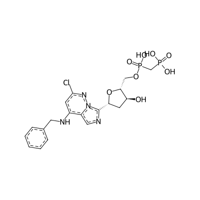 O=P(O)(O)CP(=O)(O)OC[C@H]1O[C@@H](c2ncc3c(NCc4ccccc4)cc(Cl)nn23)C[C@@H]1O